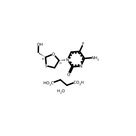 Nc1nc(=O)n([C@@H]2CS[C@H](CO)O2)cc1F.O.O=C(O)CCC(=O)O